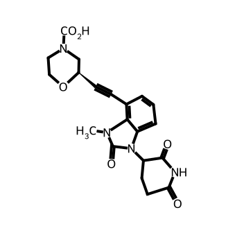 Cn1c(=O)n(C2CCC(=O)NC2=O)c2cccc(C#C[C@@H]3CN(C(=O)O)CCO3)c21